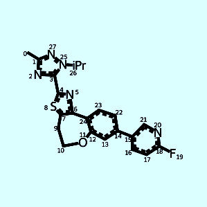 Cc1nc(-c2nc3c(s2)CCOc2cc(-c4ccc(F)nc4)ccc2-3)n(C(C)C)n1